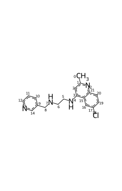 Cc1cc(NCCNCc2cccnc2)c2cc(Cl)ccc2n1